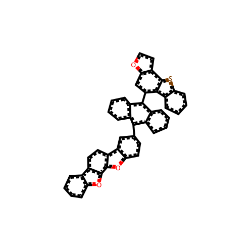 c1ccc2c(c1)oc1c2ccc2c3cc(-c4c5ccccc5c(-c5cc6occc6c6sc7ccccc7c56)c5ccccc45)ccc3oc21